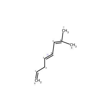 C=CC/C=C/C=C(C)C